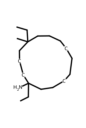 CCC1(C)CCCCCCCCCC(N)(CC)CCC1